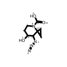 [N-]=[N+]=NC1C(O)CCN(C(=O)O)C12CC2